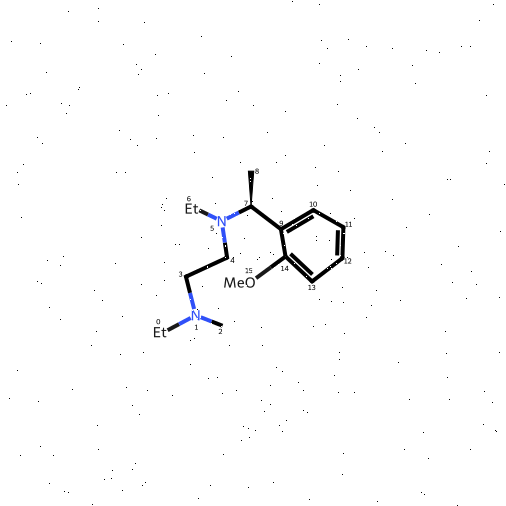 CCN(C)CCN(CC)[C@@H](C)c1ccccc1OC